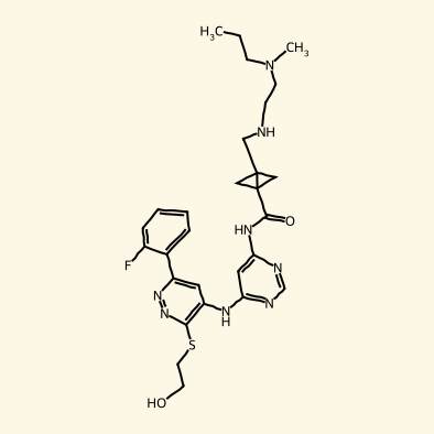 CCCN(C)CCNCC12CC1(C(=O)Nc1cc(Nc3cc(-c4ccccc4F)nnc3SCCO)ncn1)C2